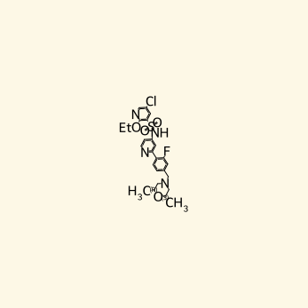 CCOc1ncc(Cl)cc1S(=O)(=O)Nc1ccnc(-c2ccc(CN3C[C@@H](C)O[C@@H](C)C3)cc2F)c1